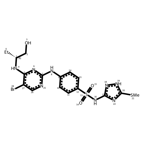 CC[C@H](CO)Nc1nc(Nc2ccc(S(=O)(=O)Nc3n[nH]c(SC)n3)cc2)ncc1Br